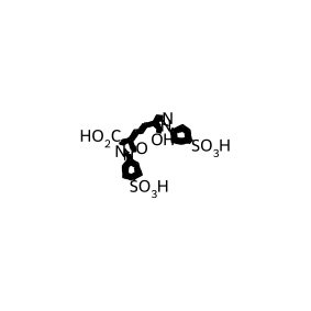 O=C(O)C1=NN(c2ccc(S(=O)(=O)O)cc2)C(=O)/C1=C\C=C\c1cnn(-c2ccc(S(=O)(=O)O)cc2)c1O